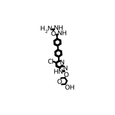 N=C(N)OC(=N)c1ccc(-c2ccc(-c3nc4nc(OC5COCC(O)C5)[nH]c4cc3Cl)cc2)cc1